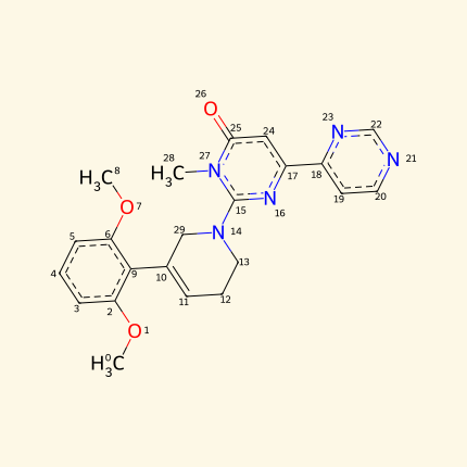 COc1cccc(OC)c1C1=CCCN(c2nc(-c3ccncn3)cc(=O)n2C)C1